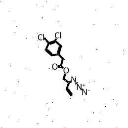 C=CC(COC(=O)Cc1ccc(Cl)c(Cl)c1)N=[N+]=[N-]